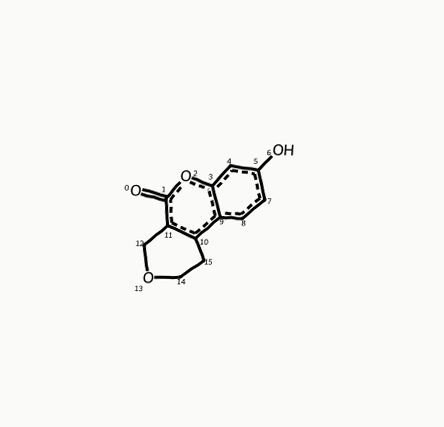 O=c1oc2cc(O)ccc2c2c1COCC2